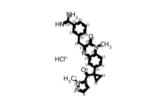 Cl.Cn1nccc1C(=O)C1(c2ccc3c(c2)nc(Cc2cccc(C(=N)N)c2)c(=O)n3C)CC1